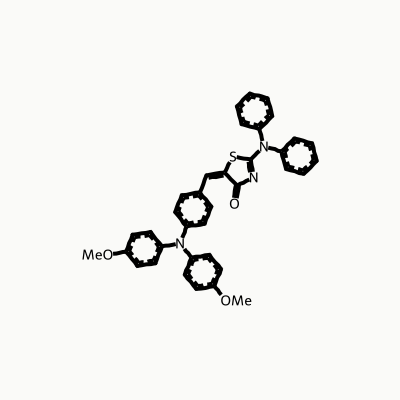 COc1ccc(N(c2ccc(/C=C3/SC(N(c4ccccc4)c4ccccc4)=NC3=O)cc2)c2ccc(OC)cc2)cc1